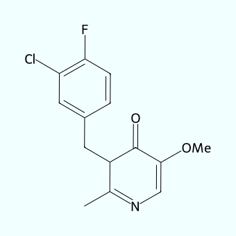 COC1=CN=C(C)C(Cc2ccc(F)c(Cl)c2)C1=O